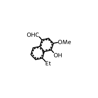 CCc1cccc2c(C=O)cc(OC)c(O)c12